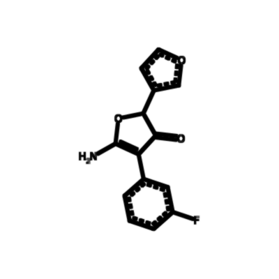 NC1=C(c2cccc(F)c2)C(=O)C(c2ccoc2)O1